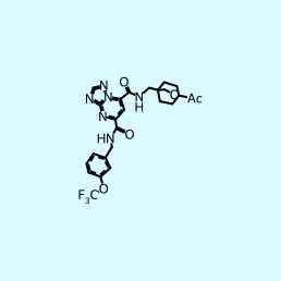 CC(=O)C12CCC(CNC(=O)c3cc(C(=O)NCc4cccc(OC(F)(F)F)c4)nc4ncnn34)(CC1)CC2